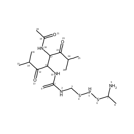 C=C(NCSPSC(C)N)NC(C(=O)C(C)C)C(NC(C)=O)C(=O)C(C)C